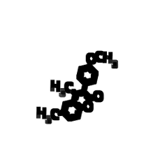 COc1ccc(-c2c(C)c3cc(C)ccc3oc2=O)cc1